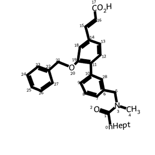 CCCCCCCC(=O)N(C)Cc1cccc(-c2ccc(C=CC(=O)O)cc2OCc2ccccc2)c1